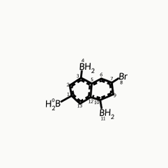 Bc1cc(B)c2cc(Br)cc(B)c2c1